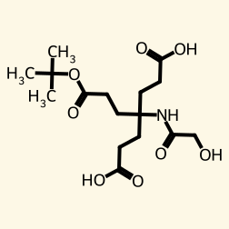 CC(C)(C)OC(=O)CCC(CCC(=O)O)(CCC(=O)O)NC(=O)CO